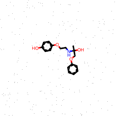 CC(O)(COc1ccccc1)NCCOc1ccc(O)cc1